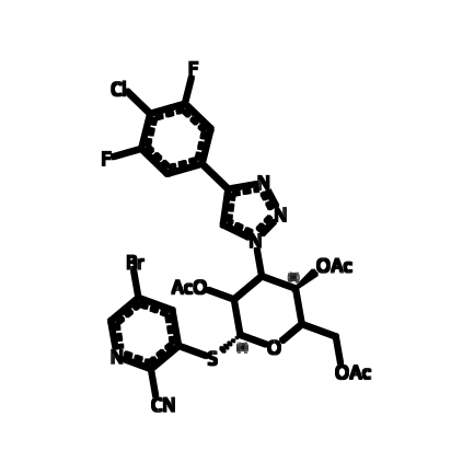 CC(=O)OCC1O[C@H](Sc2cc(Br)cnc2C#N)C(OC(C)=O)C(n2cc(-c3cc(F)c(Cl)c(F)c3)nn2)[C@H]1OC(C)=O